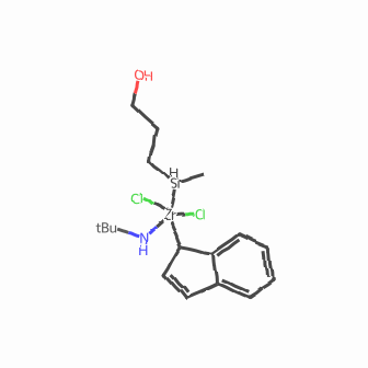 C[SiH](CCCO)[Zr]([Cl])([Cl])([NH]C(C)(C)C)[CH]1C=Cc2ccccc21